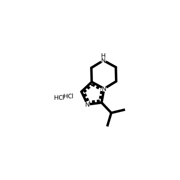 CC(C)c1ncc2n1CCNC2.Cl.Cl